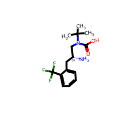 CC(C)(C)N(C[C@H](N)Cc1ccccc1C(F)(F)F)C(=O)O